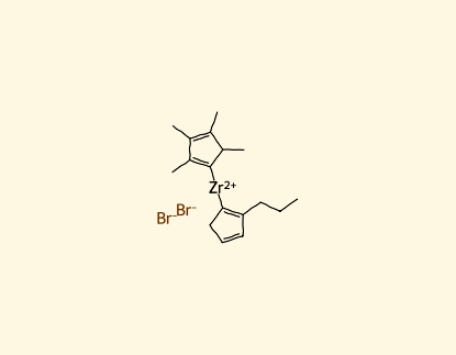 CCCC1=[C]([Zr+2][C]2=C(C)C(C)=C(C)C2C)CC=C1.[Br-].[Br-]